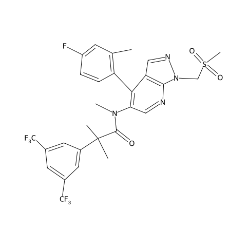 Cc1cc(F)ccc1-c1c(N(C)C(=O)C(C)(C)c2cc(C(F)(F)F)cc(C(F)(F)F)c2)cnc2c1cnn2CS(C)(=O)=O